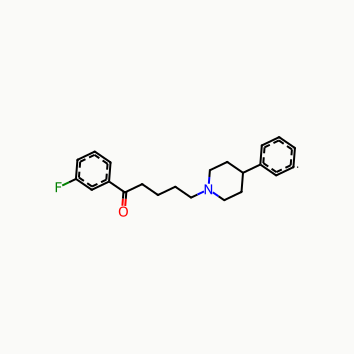 O=C(CCCCN1CCC(c2c[c]ccc2)CC1)c1cccc(F)c1